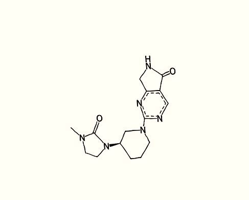 CN1CCN([C@@H]2CCCN(c3ncc4c(n3)CNC4=O)C2)C1=O